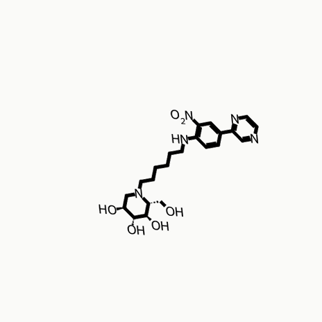 O=[N+]([O-])c1cc(-c2cnccn2)ccc1NCCCCCCN1C[C@H](O)[C@@H](O)[C@H](O)[C@H]1CO